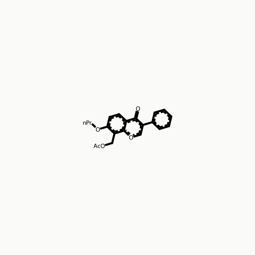 CCCOc1ccc2c(=O)c(-c3ccccc3)coc2c1COC(C)=O